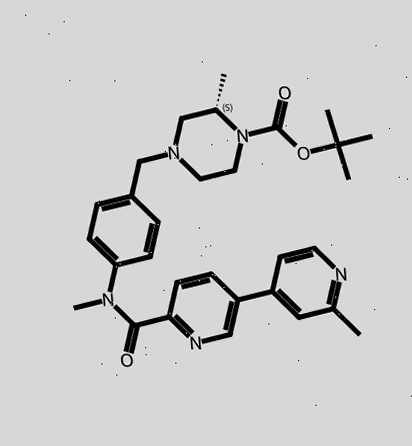 Cc1cc(-c2ccc(C(=O)N(C)c3ccc(CN4CCN(C(=O)OC(C)(C)C)[C@@H](C)C4)cc3)nc2)ccn1